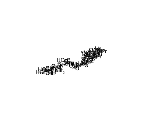 CC[C@H](C)[C@@H]([C@@H](CC(=O)N1CCC[C@H]1[C@H](OC)[C@@H](C)C(=O)N[C@@H](Cc1ccccc1)C(=O)NCCCOC(=O)C(C)NC(=O)CC(NC(=O)CCNC(=O)OCC(N)C(=O)NC[C@H](O)[C@@H](O)[C@H](O)[C@H](O)CO)C(=O)O)OC)N(C)C(=O)[C@@H](NC(=O)[C@H](C(C)C)N(C)C)C(C)C